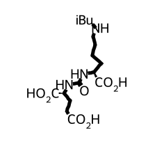 CCC(C)NCCCC[C@H](NC(=O)N[C@H](CCC(=O)O)C(=O)O)C(=O)O